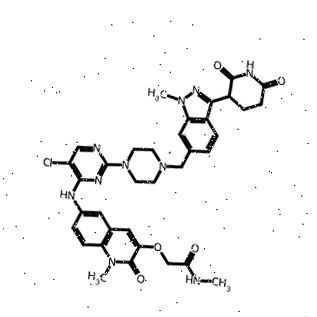 CNC(=O)COc1cc2cc(Nc3nc(N4CCN(Cc5ccc6c(C7CCC(=O)NC7=O)nn(C)c6c5)CC4)ncc3Cl)ccc2n(C)c1=O